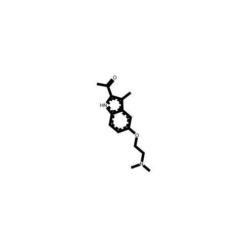 CC(=O)c1[nH]c2ccc(OCCN(C)C)cc2c1C